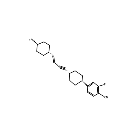 CCC[C@H]1CC[C@H](C=CC#C[C@H]2CC[C@H](c3ccc(C#N)c(F)c3)CC2)CC1